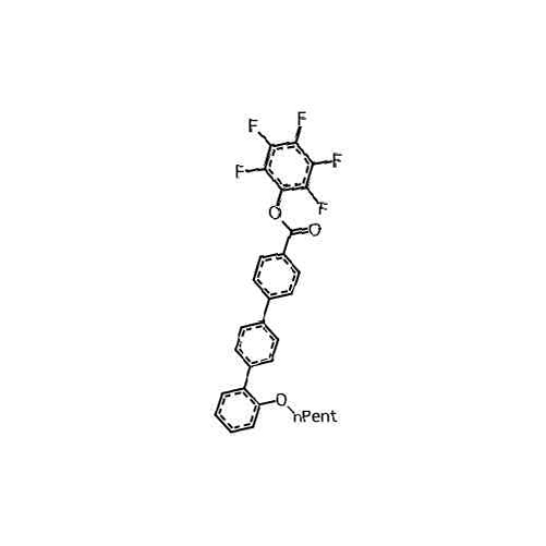 CCCCCOc1ccccc1-c1ccc(-c2ccc(C(=O)Oc3c(F)c(F)c(F)c(F)c3F)cc2)cc1